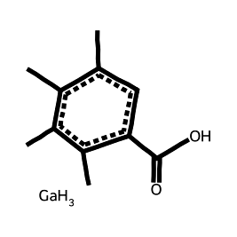 Cc1cc(C(=O)O)c(C)c(C)c1C.[GaH3]